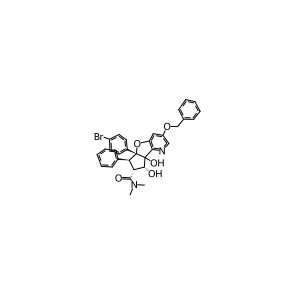 CN(C)C(=O)[C@H]1[C@@H](O)C2(O)c3ncc(OCc4ccccc4)cc3O[C@@]2(c2ccc(Br)cc2)[C@@H]1c1ccccc1